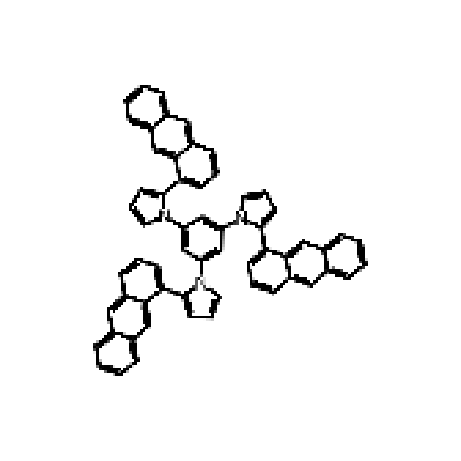 c1ccc2cc3c(-c4cccn4-c4cc(-n5cccc5-c5cccc6cc7ccccc7cc56)cc(-n5cccc5-c5cccc6cc7ccccc7cc56)c4)cccc3cc2c1